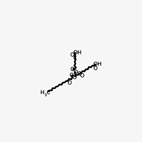 CCCCCCCCCCCCC(=O)CCC(=O)OC(COC(=O)CCCCCCCC(=O)O)COC(=O)CCCCCCCC(=O)O